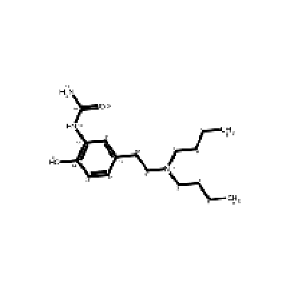 CCCCN(CCCC)CCc1ccc(O)c(NC(N)=O)c1